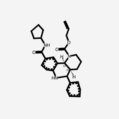 C=CCOC(=O)N1CCC[C@H]2C(c3ccccc3)Nc3ccc(C(=O)NC4CCCC4)cc3[C@H]21